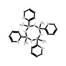 C[Si]1(C2=CC=CCO2)O[Si](C)(C2=CC=CCO2)O[Si](C)(C2C=CC=CO2)O[Si](C)(C2=CC=CCO2)O1